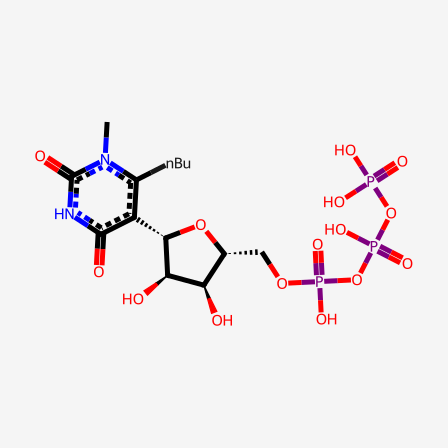 CCCCc1c([C@@H]2O[C@H](COP(=O)(O)OP(=O)(O)OP(=O)(O)O)[C@@H](O)[C@H]2O)c(=O)[nH]c(=O)n1C